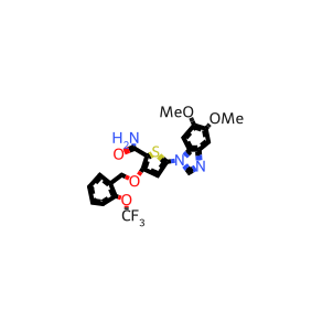 COc1cc2ncn(-c3cc(OCc4ccccc4OC(F)(F)F)c(C(N)=O)s3)c2cc1OC